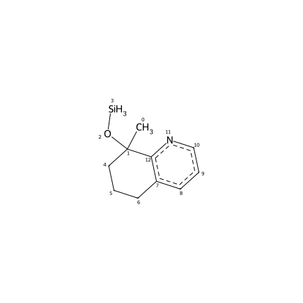 CC1(O[SiH3])CCCc2cccnc21